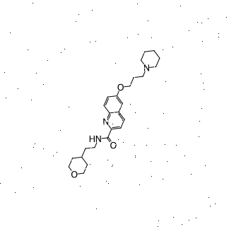 O=C(NCCC1CCOCC1)c1ccc2cc(OCCCN3CCCCC3)ccc2n1